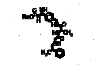 CC(C)COC(=O)NC(=N)c1ccc(CNC(=O)[C@H](C)NC(=O)CNC[C@H](C)c2ccccc2)cc1